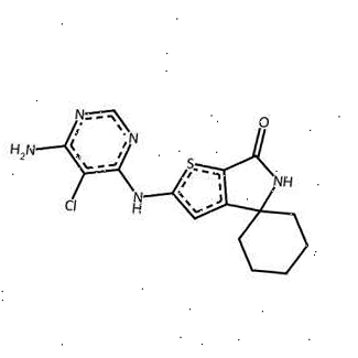 Nc1ncnc(Nc2cc3c(s2)C(=O)NC32CCCCC2)c1Cl